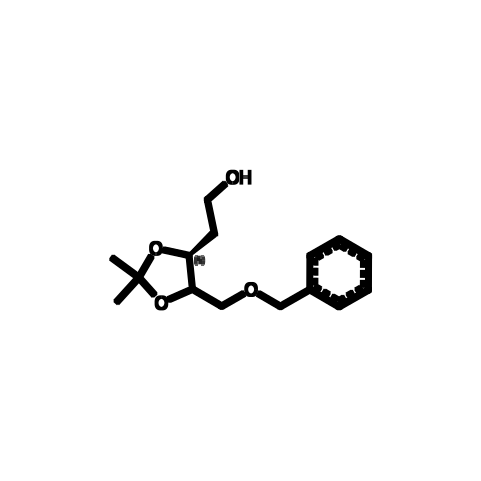 CC1(C)OC(COCc2ccccc2)[C@H](CCO)O1